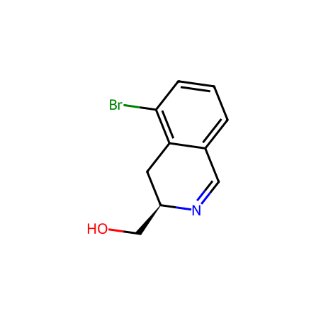 OC[C@H]1Cc2c(Br)cccc2C=N1